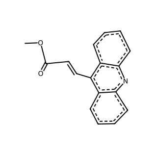 COC(=O)C=Cc1c2ccccc2nc2ccccc12